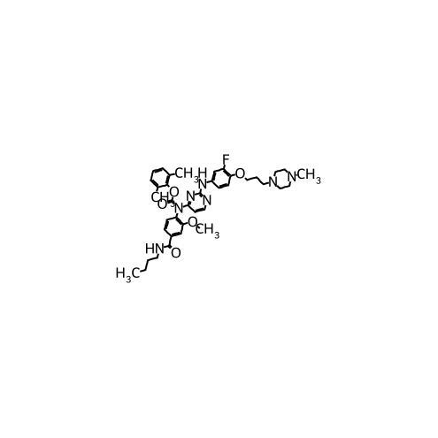 CCCCNC(=O)c1ccc(N(C(=O)Oc2c(C)cccc2C)c2ccnc(Nc3ccc(OCCCN4CCN(C)CC4)c(F)c3)n2)c(OC)c1